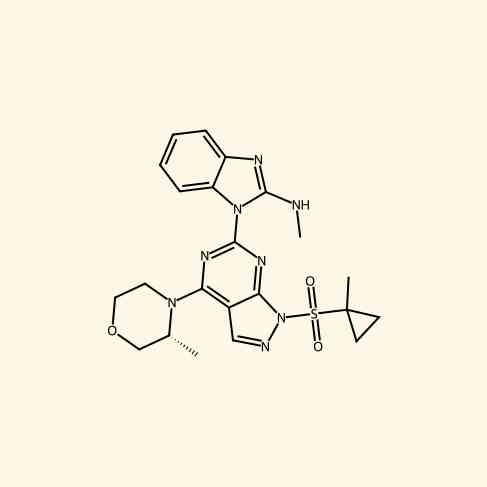 CNc1nc2ccccc2n1-c1nc(N2CCOC[C@H]2C)c2cnn(S(=O)(=O)C3(C)CC3)c2n1